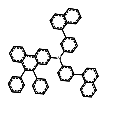 c1ccc(-c2c(-c3ccccc3)c3cc(N(c4cccc(-c5cccc6ccccc56)c4)c4cccc(-c5cccc6ccccc56)c4)ccc3c3ccccc23)cc1